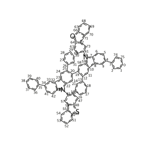 c1ccc(-c2ccc3c(c2)c2cc(-c4ccccc4)c(-c4cc5c(cc4-c4ccccc4)c4cc(-c6ccccc6)ccc4n5-c4ccc5sc6ccccc6c5c4)cc2n3-c2ccc3oc4ccccc4c3c2)cc1